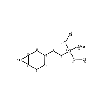 CCO[Si](CCC1CCC2OC2C1)(OC)OCC